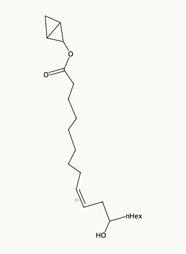 CCCCCCC(O)C/C=C\CCCCCCCC(=O)OC1C2CC21